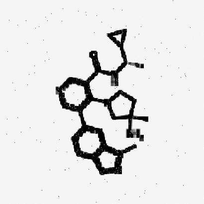 C[C@H](NC(=O)c1cncc(-c2ccc3cnn(C)c3c2)c1N1CC[C@](C)(N)C1)C1CC1